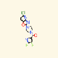 O=C(c1cnc(F)c(F)c1)N1CCN(c2nc3nc(Cl)ccc3o2)CC1